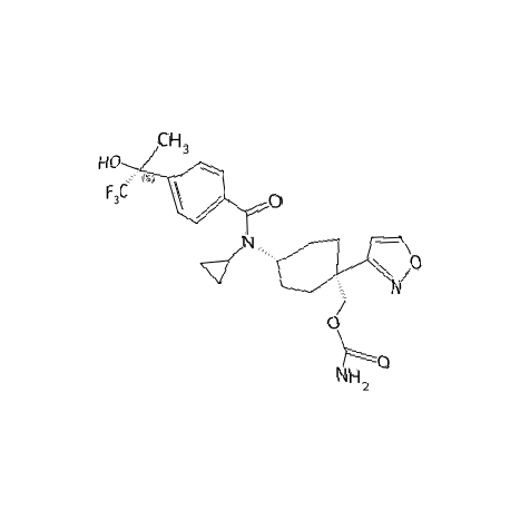 C[C@](O)(c1ccc(C(=O)N(C2CC2)[C@H]2CC[C@](COC(N)=O)(c3ccon3)CC2)cc1)C(F)(F)F